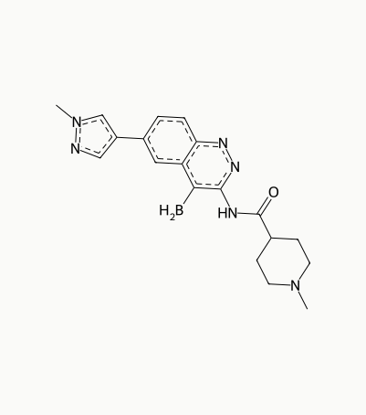 Bc1c(NC(=O)C2CCN(C)CC2)nnc2ccc(-c3cnn(C)c3)cc12